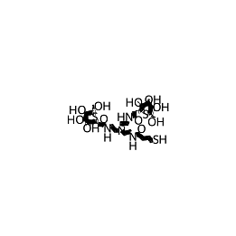 O=C(CCCS)NCCN(CCNC(=O)C[C@H]1S[C@@H](CO)[C@H](O)[C@H](O)[C@H]1O)CCNC(=O)C[C@H]1S[C@@H](CO)[C@H](O)[C@H](O)[C@H]1O